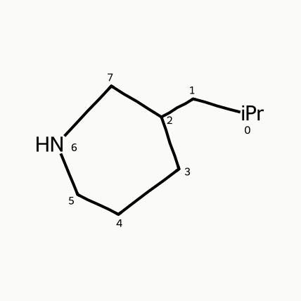 CC(C)CC1CCCNC1